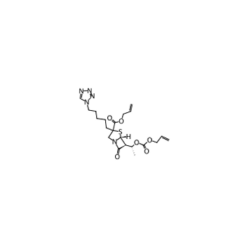 C=CCOC(=O)O[C@H](C)[C@H]1C(=O)N2CC(CCCCCn3cnnn3)(C(=O)OCC=C)S[C@H]12